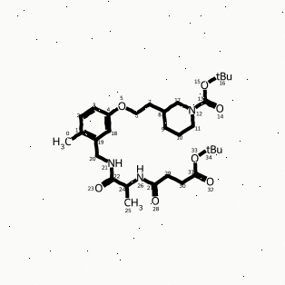 Cc1ccc(OCCC2CCCN(C(=O)OC(C)(C)C)C2)cc1CNC(=O)C(C)NC(=O)CCC(=O)OC(C)(C)C